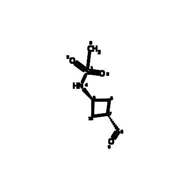 CS(=O)(=O)N[C@H]1C[C@H](C=O)C1